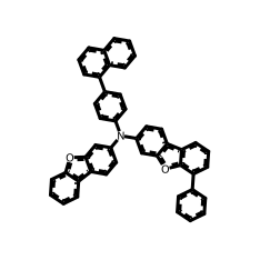 c1ccc(-c2cccc3c2oc2cc(N(c4ccc(-c5cccc6ccccc56)cc4)c4ccc5c(c4)oc4ccccc45)ccc23)cc1